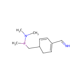 CN(C)P(C)CC1C=CC(C=N)=CC1